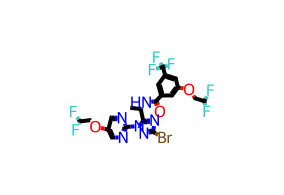 CC(NC(=O)c1cc(OCC(F)F)cc(C(F)(F)F)c1)c1nc(Br)nn1-c1ncc(OCC(F)F)cn1